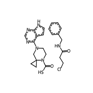 O=C(CCCl)NCc1ccccc1.O=C(S)N1CCN(c2ncnc3[nH]ccc23)CC12CC2